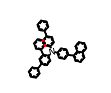 c1ccc(-c2ccc(N(c3ccc(-c4cccc5ccccc45)cc3)c3ccc(-c4ccccc4)cc3-c3ccccc3)cc2)cc1